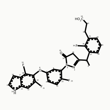 CC(C1=NN(c2cc(Oc3c(F)cc4[nH]ccc4c3F)ccc2F)C(=O)C1)c1cccc(CCC(=O)O)c1F